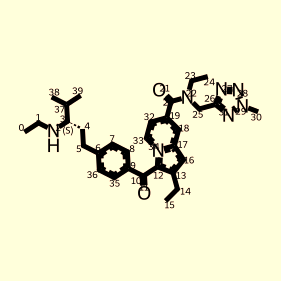 CCN[C@@H](CCc1ccc(C(=O)c2c(CC)cc3cc(C(=O)N(CC)Cc4nnn(C)n4)ccn23)cc1)C(C)C